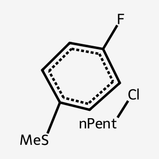 CCCCCCl.CSc1ccc(F)cc1